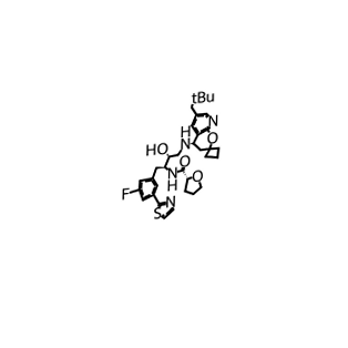 CC(C)(C)Cc1cnc2c(c1)[C@@H](NC[C@@H](O)[C@H](Cc1cc(F)cc(-c3nccs3)c1)NC(=O)[C@H]1CCCO1)CC1(CCC1)O2